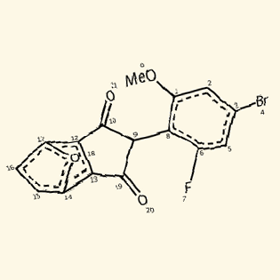 COc1cc(Br)cc(F)c1C1C(=O)c2c(c3ccc2o3)C1=O